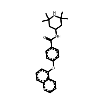 CC1(C)CC(NC(=O)c2ccc(Oc3cccc4ncccc34)cc2)CC(C)(C)N1